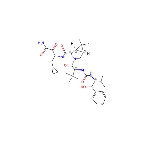 CC(C)[C@H](NC(=O)N[C@H](C(=O)N1C[C@H]2[C@@H]([C@H]1C(=O)NC(CC1CC1)C(=O)C(N)=O)C2(C)C)C(C)(C)C)C(O)c1ccccc1